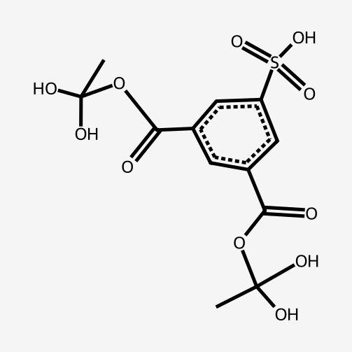 CC(O)(O)OC(=O)c1cc(C(=O)OC(C)(O)O)cc(S(=O)(=O)O)c1